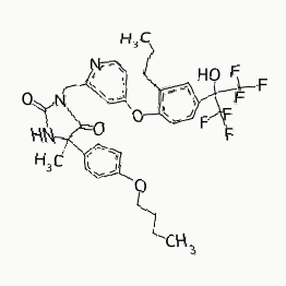 CCCCOc1ccc(C2(C)NC(=O)N(Cc3cc(Oc4ccc(C(O)(C(F)(F)F)C(F)(F)F)cc4CCC)ccn3)C2=O)cc1